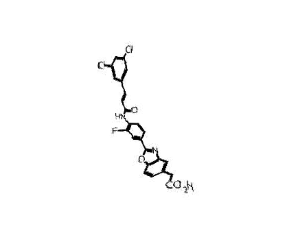 O=C(O)Cc1ccc2oc(-c3ccc(NC(=O)C=Cc4cc(Cl)cc(Cl)c4)c(F)c3)nc2c1